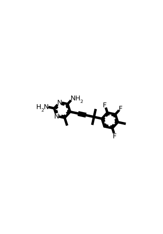 Cc1nc(N)nc(N)c1C#CC(C)(C)c1cc(F)c(C)c(F)c1F